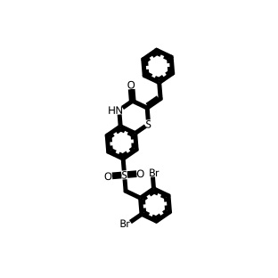 O=C1Nc2ccc(S(=O)(=O)Cc3c(Br)cccc3Br)cc2S/C1=C/c1ccccc1